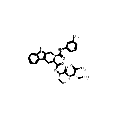 Cc1cccc(NC(=O)N2Cc3[nH]c4ccccc4c3CC2C(=O)N[C@@H](CC(C)C)C(=O)N[C@@H](CC(=O)O)C(N)=O)c1